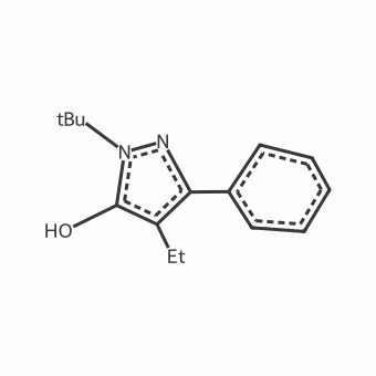 CCc1c(-c2ccccc2)nn(C(C)(C)C)c1O